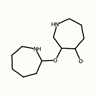 [O]C1CCCNCC1OC1CCCCCN1